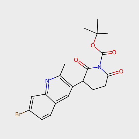 Cc1nc2cc(Br)ccc2cc1C1CCC(=O)N(C(=O)OC(C)(C)C)C1=O